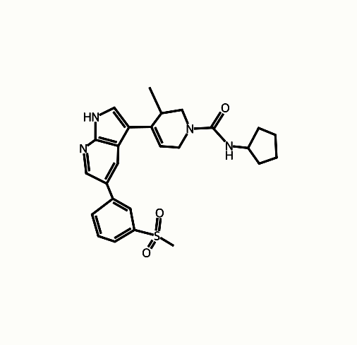 CC1CN(C(=O)NC2CCCC2)CC=C1c1c[nH]c2ncc(-c3cccc(S(C)(=O)=O)c3)cc12